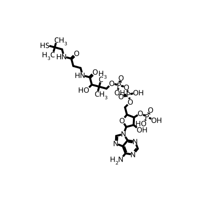 CC(C)(S)CNC(=O)CCNC(=O)C(O)C(C)(C)COP(=O)(O)OP(=O)(O)OCC1OC(n2cnc3c(N)ncnc32)C(O)C1OP(=O)(O)O